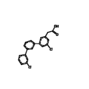 O=C(O)Cc1cc(Cl)cc(-c2cccc(-c3cccc(Cl)c3)c2)c1